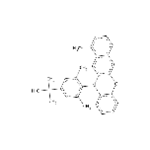 Cc1cc(C(C)(C)C)cc(C)c1N1c2ccccc2Oc2cc3cccc(C)c3cc21